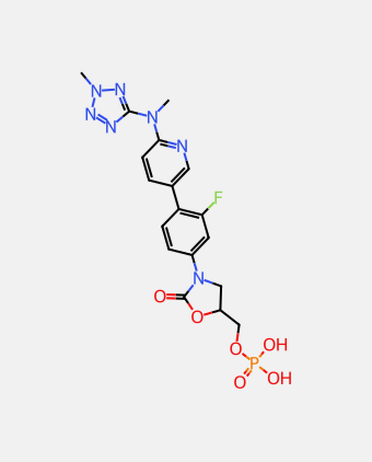 CN(c1ccc(-c2ccc(N3CC(COP(=O)(O)O)OC3=O)cc2F)cn1)c1nnn(C)n1